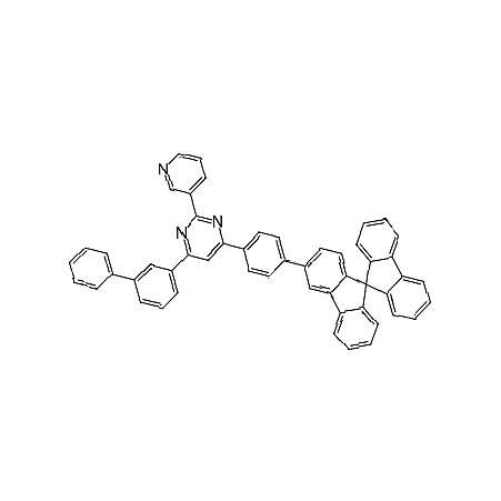 c1ccc(-c2cccc(-c3cc(-c4ccc(-c5ccc6c(c5)-c5ccccc5C65c6ccccc6-c6ccccc65)cc4)nc(-c4cccnc4)n3)c2)cc1